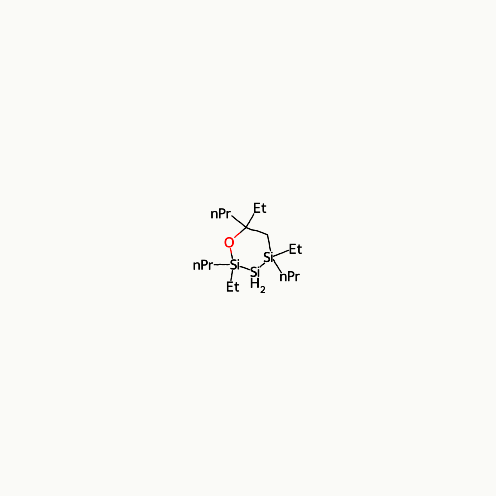 CCCC1(CC)C[Si](CC)(CCC)[SiH2][Si](CC)(CCC)O1